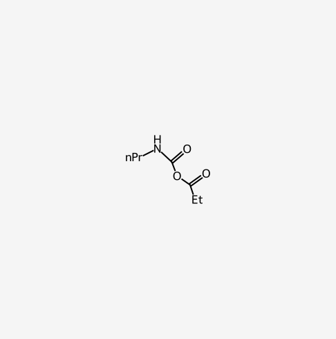 CCCNC(=O)OC(=O)CC